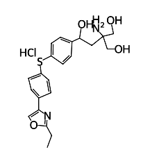 CCc1nc(-c2ccc(Sc3ccc(C(O)CC(N)(CO)CO)cc3)cc2)co1.Cl